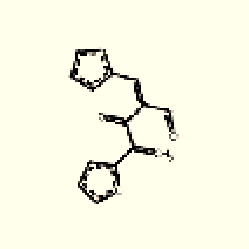 C=C(C(=O)C([C]=O)=Cc1cccs1)c1ccco1